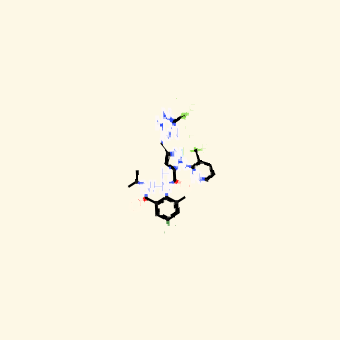 Cc1cc(Cl)cc(C(=O)NC(C)C)c1NC(=O)c1cc(Cn2nnc(C(F)(F)F)n2)nn1-c1ncccc1C(F)(F)F